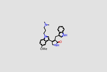 COc1ccc2c(c1)c(C1=C(Cc3c[nH]c4ccccc34)C(=O)NC1)cn2CCCN(C)C